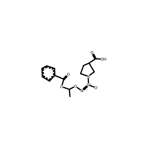 CC(O/N=[N+](/[O-])N1CCC(C(=O)O)C1)OC(=O)c1ccccc1